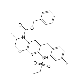 CCS(=O)(=O)Nc1nc2c(cc1Cc1ccc(F)cc1)N(C(=O)OCc1ccccc1)[C@@H](C)CO2